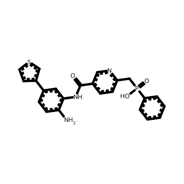 Nc1ccc(-c2ccsc2)cc1NC(=O)c1ccc(CP(=O)(O)c2ccccc2)nc1